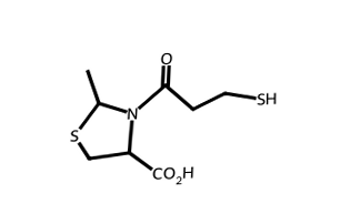 CC1SCC(C(=O)O)N1C(=O)CCS